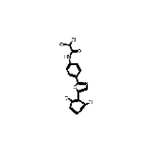 O=C(Nc1ccc(-c2ncc(-c3c(Cl)cccc3Cl)o2)cc1)C(Cl)Cl